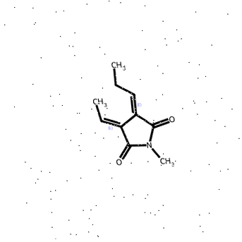 C/C=C1/C(=O)N(C)C(=O)/C1=C/CC